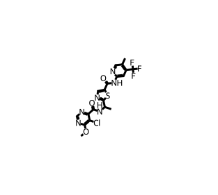 COc1ncnc(C(=O)NC(C)c2ncc(C(=O)Nc3cc(C(F)(F)F)c(C)cn3)s2)c1Cl